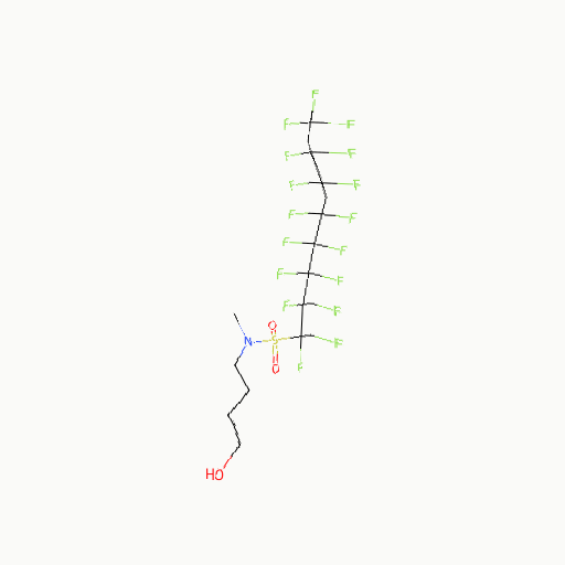 CN(CCCCO)S(=O)(=O)C(F)(F)C(F)(F)C(F)(F)C(F)(F)C(F)(F)C(F)(F)C(F)(F)C(F)(F)F